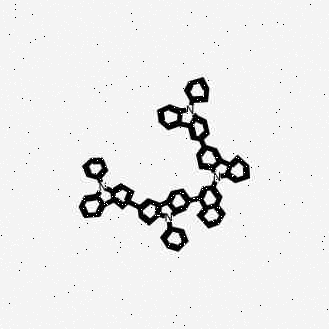 c1ccc(-n2c3ccccc3c3cc(-c4ccc5c(c4)c4ccccc4n5-c4cc(-c5ccc6c7cc(-c8ccc9c(c8)c8ccccc8n9-c8ccccc8)ccc7n(-c7ccccc7)c6c5)c5ccccc5c4)ccc32)cc1